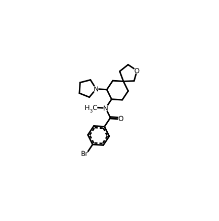 CN(C(=O)c1ccc(Br)cc1)C1CCC2(CCOC2)CC1N1CCCC1